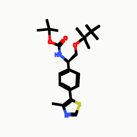 Cc1ncsc1-c1ccc([C@H](CO[Si](C)(C)C(C)(C)C)NC(=O)OC(C)(C)C)cc1